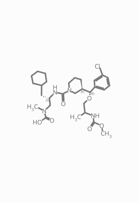 COC(=O)NC(C)CO[C@@H](c1cccc(Cl)c1)[C@@H]1CCCN(C(=O)N[C@@H](CC2CCCCC2)CN(C)C(=O)O)C1